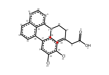 O=C(O)CC1=CCN(c2ncnc3cccc(-c4ccc(Cl)c(Cl)c4)c23)CC1